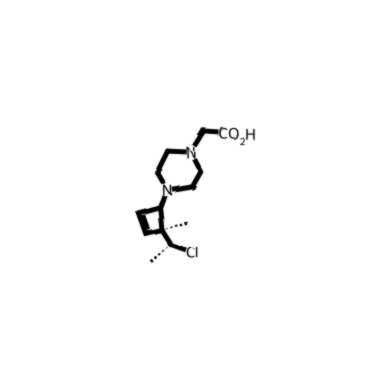 C[C@@H](Cl)[C@@]1(C)C=CC1N1CCN(CC(=O)O)CC1